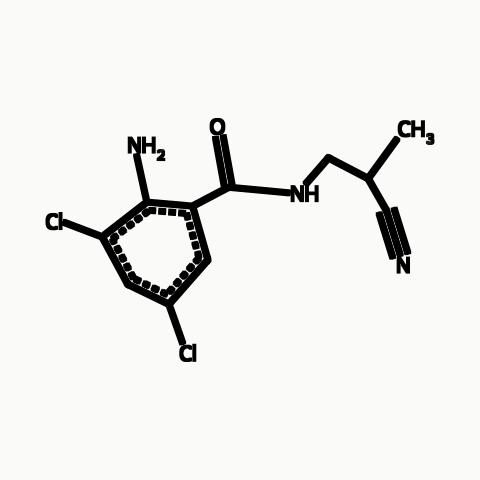 CC(C#N)CNC(=O)c1cc(Cl)cc(Cl)c1N